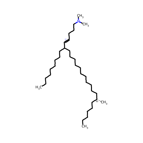 CCCCCCCCCC(/C=C/CCCN(C)C)CCCCCCCCCCC[C@H](C)CCCCCC